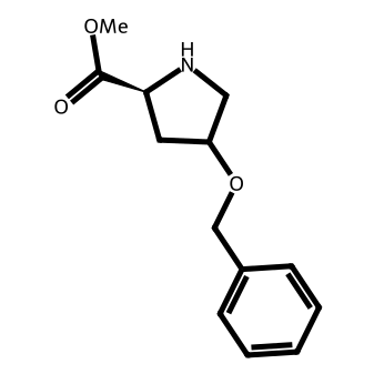 COC(=O)[C@@H]1CC(OCc2ccccc2)CN1